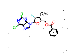 CC(=O)O[C@H]1[C@@H](F)[C@H](n2cnc3c(Cl)nc(Cl)nc32)O[C@@H]1COC(=O)c1ccccc1